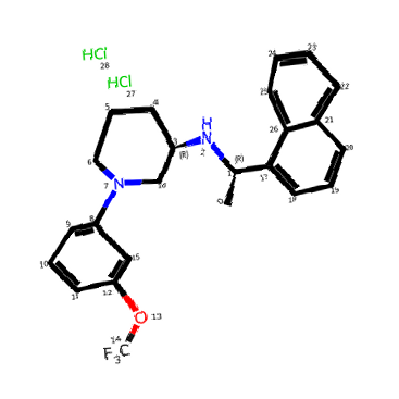 C[C@@H](N[C@@H]1CCCN(c2cccc(OC(F)(F)F)c2)C1)c1cccc2ccccc12.Cl.Cl